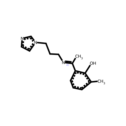 C/C(=N\CCCn1ccnc1)c1cccc(C)c1O